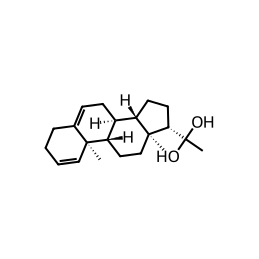 CC(O)(O)[C@H]1CC[C@H]2[C@@H]3CC=C4CCC=C[C@]4(C)[C@H]3CC[C@]12C